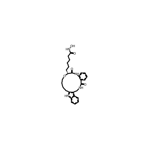 O=C(CCCCC[C@@H]1OCCCCc2[nH]c3ccccc3c2CNC(=O)c2ccccc2NC1=O)NO